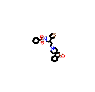 CN(C[C@H](CCN1CCC2(CC1)C[S@+]([O-])c1ccccc12)c1ccsc1)S(=O)(=O)c1ccccc1